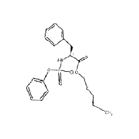 CCCCCOC(=O)[C@H](Cc1ccccc1)NP(=O)(Cl)Oc1ccccc1